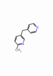 Cc1ccc(Cc2ccncc2)cn1